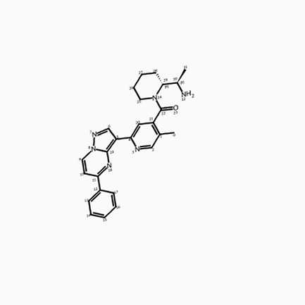 Cc1cnc(-c2cnn3ccc(-c4ccccc4)nc23)cc1C(=O)N1CCCC[C@@H]1[C@@H](C)N